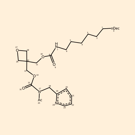 CCCCCCCCCCCCCCCCNC(=O)OCC1(COC(=O)N(Cc2ccccn2)C(C)=O)COC1